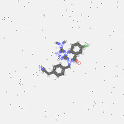 CN(C)c1nnc2n(Cc3ccc(CC#N)cc3)c(=O)c3cc(Br)ccc3n12